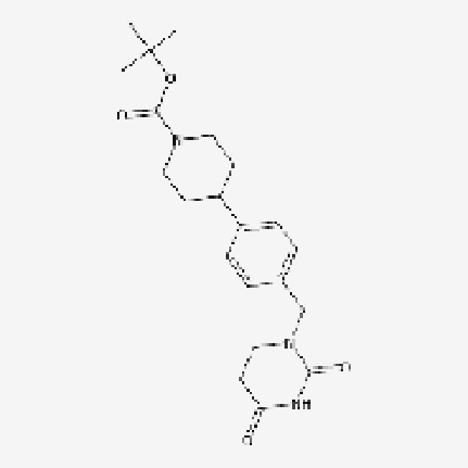 CC(C)(C)OC(=O)N1CCC(c2ccc(CN3CCC(=O)NC3=O)cc2)CC1